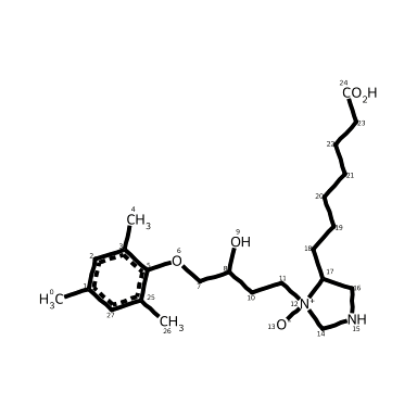 Cc1cc(C)c(OCC(O)CC[N+]2([O-])CNCC2CCCCCCC(=O)O)c(C)c1